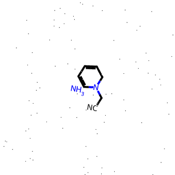 N.N#CCN1C=CC=CC1